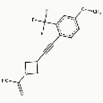 COc1ccc(C#CC2CN(C(=O)O)C2)c(C(F)(F)F)c1